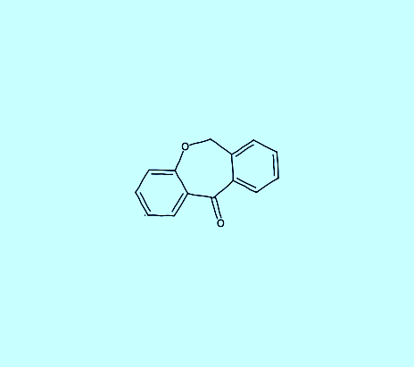 O=C1c2ccccc2COc2cc[c]cc21